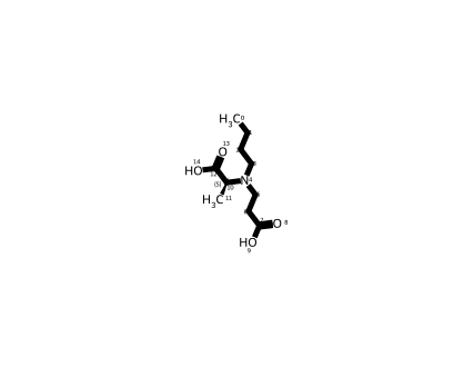 CCCCN(CCC(=O)O)[C@@H](C)C(=O)O